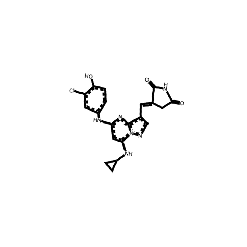 O=C1C/C(=C\c2cnn3c(NC4CC4)cc(Nc4ccc(O)c(Cl)c4)nc23)C(=O)N1